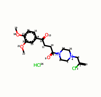 C=C(Cl)CN1CCN(C(=O)CCC(=O)c2ccc(OC)c(OC)c2)CC1.Cl